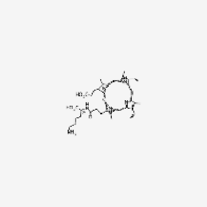 C=CC1=C(C)c2cc3[nH]c(cc4nc(cc5[nH]c(cc1n2)c(C)c5CCC(=O)N[C@@H](CCCCN)C(=O)O)C(CCC(=O)O)C4C)c(C)c3C=C